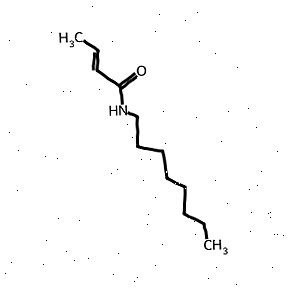 C/C=C/C(=O)NCCCCCCCC